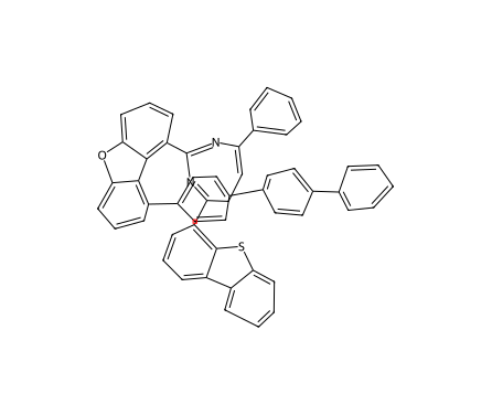 C1=C(c2ccccc2)N=C(c2cccc3oc4cccc(-c5ccc(-c6ccc(-c7ccccc7)cc6)cc5)c4c23)N=C(c2cccc3c2sc2ccccc23)C1